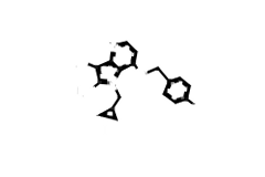 Cc1c(C)n(CC2CC2)c2c(OCc3ccc(F)cc3)ccnc12.Cl